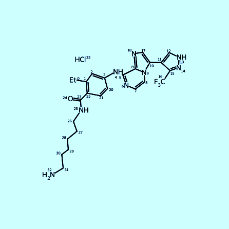 CCc1cc(Nc2nccn3c(-c4c[nH]nc4C(F)(F)F)cnc23)ccc1C(=O)NCCCCCCN.Cl